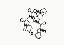 COC(=O)[C@H](C[C@H]1CC2(CCN(C(C)=O)CC2)NC1=O)NC(=O)[C@H](CC1CCCCC1)NC(=O)c1cc2ccccc2[nH]1